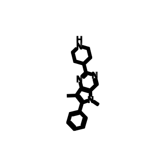 Cc1c(-c2ccccc2)n(C)c2cnc(C3CCNCC3)nc12